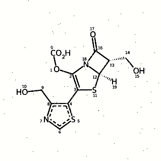 O=C(O)OC1=C(c2scnc2CO)S[C@@H]2[C@@H](CO)C(=O)N12